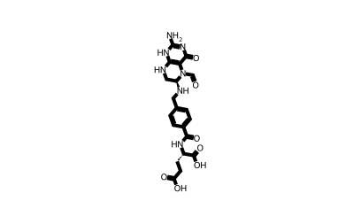 Nc1nc(=O)c2c([nH]1)NC[C@H](NCc1ccc(C(=O)N[C@@H](CCC(=O)O)C(=O)O)cc1)N2C=O